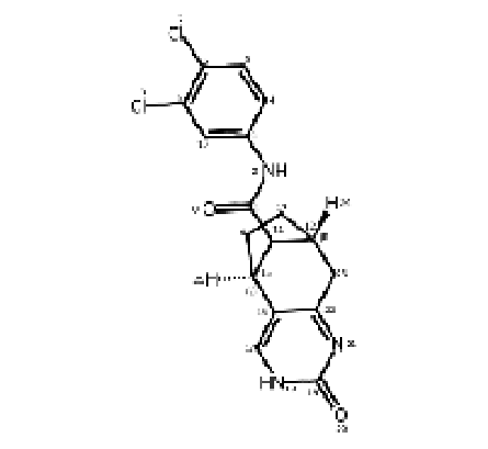 O=C(Nc1ccc(Cl)c(Cl)c1)C1[C@@H]2CC[C@@H]1c1c[nH]c(=O)nc1C2